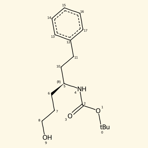 CC(C)(C)OC(=O)N[C@@H](CCCO)CCc1ccccc1